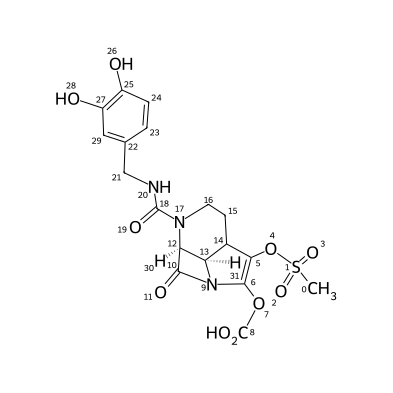 CS(=O)(=O)OC1=C(OC(=O)O)N2C(=O)[C@@H]3[C@H]2C1CCN3C(=O)NCc1ccc(O)c(O)c1